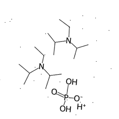 CCN(C(C)C)C(C)C.CCN(C(C)C)C(C)C.O=P([O-])(O)O.[H+]